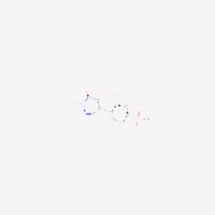 CC(C)(C)COc1c(-c2ccc(S(N)(=O)=O)cc2)cnn(CC(F)(F)F)c1=O